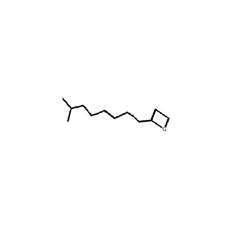 CC(C)CCCCCC[C]1CCO1